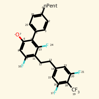 CCCCCc1ccc(-c2c([O])cc(F)c(CCc3cc(F)c(C(F)(F)F)c(F)c3)c2F)cc1